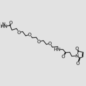 NNC(=O)CCOCCOCCOCCOCCNCC(=O)CCN1C(=O)C=CC1=O